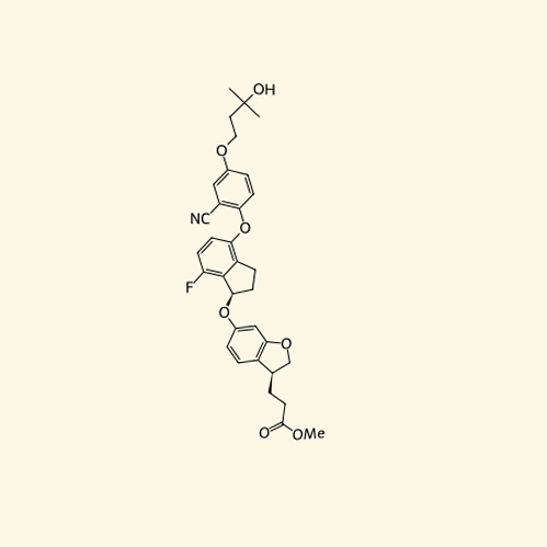 COC(=O)CC[C@@H]1COc2cc(O[C@@H]3CCc4c(Oc5ccc(OCCC(C)(C)O)cc5C#N)ccc(F)c43)ccc21